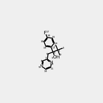 CC(C)(C)C(O)(Cc1cnccn1)c1ccc(F)cc1